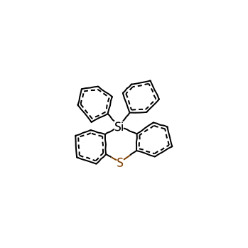 c1ccc([Si]2(c3ccccc3)c3ccccc3Sc3ccccc32)cc1